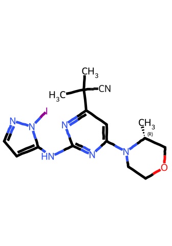 C[C@@H]1COCCN1c1cc(C(C)(C)C#N)nc(Nc2ccnn2I)n1